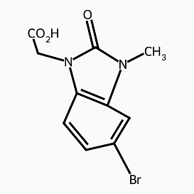 Cn1c(=O)n(CC(=O)O)c2ccc(Br)cc21